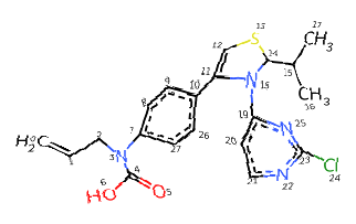 C=CCN(C(=O)O)c1ccc(C2=CSC(C(C)C)N2c2ccnc(Cl)n2)cc1